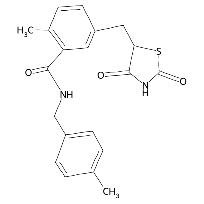 Cc1ccc(CNC(=O)c2cc(CC3SC(=O)NC3=O)ccc2C)cc1